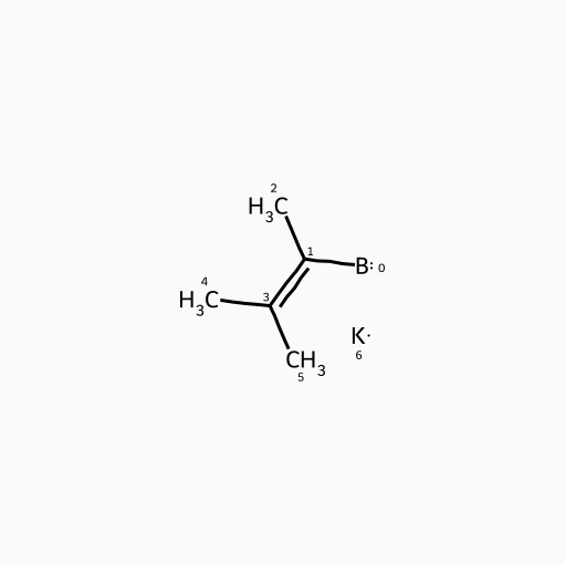 [B]C(C)=C(C)C.[K]